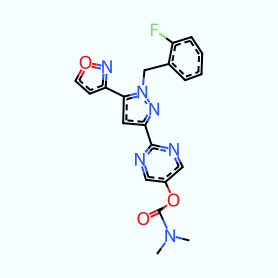 CN(C)C(=O)Oc1cnc(-c2cc(-c3ccon3)n(Cc3ccccc3F)n2)nc1